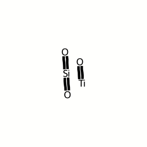 O=[Si]=O.[O]=[Ti]